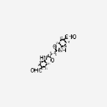 O=Cc1ccc(NC(=O)CCC(=O)Nc2ccc(C=O)cc2)cc1